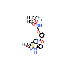 CC(C)(C)OC(=O)NCCOc1cccc(C(=O)N2CCC(CC3(C)SC(N[C@H]4CC5CCC4C5)=NC3=O)CC2)c1